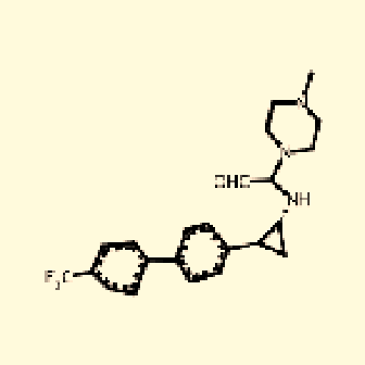 CN1CCN(C(C=O)N[C@@H]2C[C@H]2c2ccc(-c3ccc(C(F)(F)F)cc3)cc2)CC1